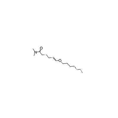 CCCCCCCO/C=C/CCCC(=O)N(C)C